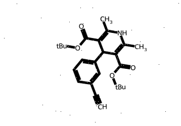 C#Cc1cccc(C2C(C(=O)OC(C)(C)C)=C(C)NC(C)=C2C(=O)OC(C)(C)C)c1